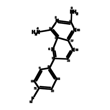 Nc1nc(N)c2nc(-c3ccc(F)cc3)cnc2n1